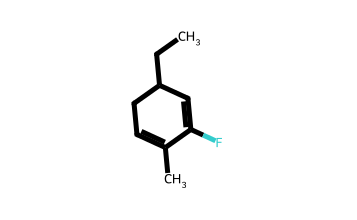 CCC1C=C(F)C(C)=CC1